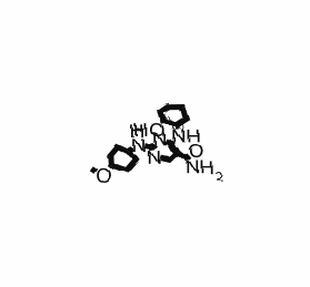 COC1CCC(Nc2ncc(C(N)=O)c(N[C@@H]3CCCC[C@H]3O)n2)CC1